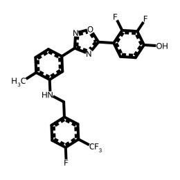 Cc1ccc(-c2noc(-c3ccc(O)c(F)c3F)n2)cc1NCc1ccc(F)c(C(F)(F)F)c1